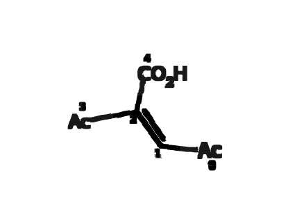 CC(=O)/C=C(/C(C)=O)C(=O)O